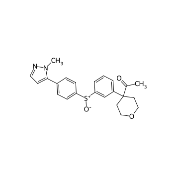 CC(=O)C1(c2cccc([S+]([O-])c3ccc(-c4ccnn4C)cc3)c2)CCOCC1